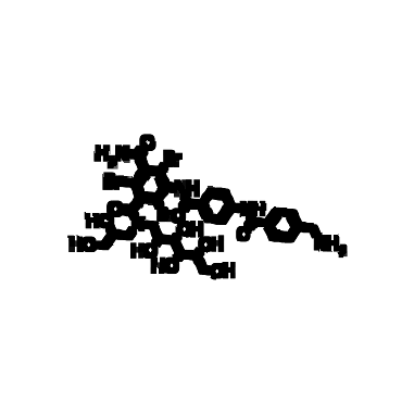 NCc1ccc(C(=O)Nc2ccc(C(=O)Nc3c(Br)c(C(N)=O)c(Br)c(C(=O)N(CC(O)CO)CC(O)C(O)C(O)C(O)CO)c3Br)cc2)cc1